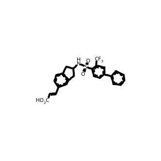 O=C(O)/C=C/c1ccc2c(c1)CC(NS(=O)(=O)c1ccc(-c3ccccc3)cc1C(F)(F)F)C2